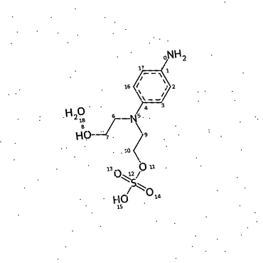 Nc1ccc(N(CCO)CCOS(=O)(=O)O)cc1.O